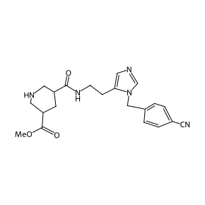 COC(=O)C1CNCC(C(=O)NCCc2cncn2Cc2ccc(C#N)cc2)C1